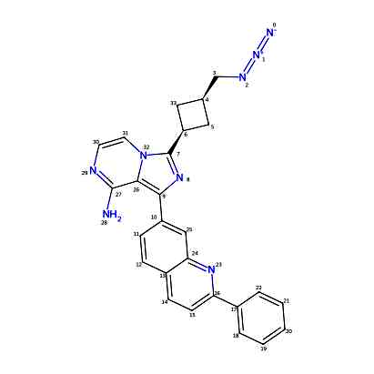 [N-]=[N+]=NC[C@H]1C[C@@H](c2nc(-c3ccc4ccc(-c5ccccc5)nc4c3)c3c(N)nccn32)C1